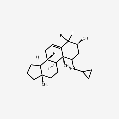 C[C@@]12CCC[C@H]1[C@@H]1CC=C3C(F)(F)[C@@H](O)CC(NC4CC4)[C@]3(C)[C@H]1CC2